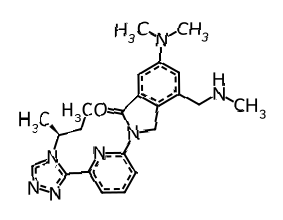 CC[C@H](C)n1cnnc1-c1cccc(N2Cc3c(CNC)cc(N(C)C)cc3C2=O)n1